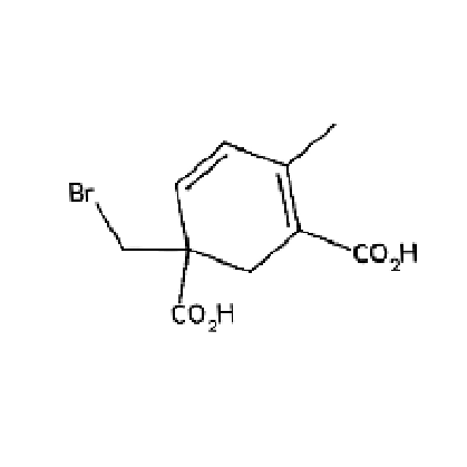 CC1=C(C(=O)O)CC(CBr)(C(=O)O)C=C1